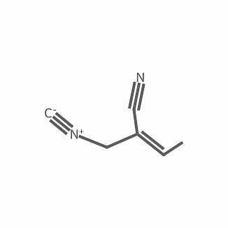 [C-]#[N+]CC(C#N)=CC